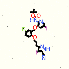 CC(C)(C)OC(=O)Nc1ncc(I)cc1OCc1cc(F)ccc1OCCCc1n[nH]c(C#N)c1I